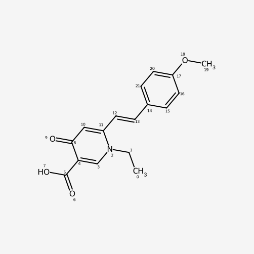 CCn1cc(C(=O)O)c(=O)cc1C=Cc1ccc(OC)cc1